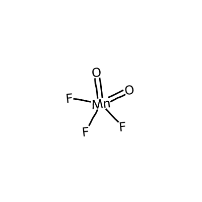 [O]=[Mn](=[O])([F])([F])[F]